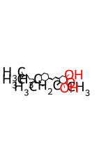 C=C1/C(=C\C=C2CCC[C@@]3(C)C2CC[C@@H]3[C@H](C)CCCC(C)C)C[C@@H](O)[C@H](OC)[C@H]1O